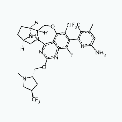 Cc1cc(N)nc(-c2c(Cl)c3c4c(nc(OC[C@@H]5C[C@@H](C(F)(F)F)CN5C)nc4c2F)N2C[C@H]4CC[C@H](N4)[C@H]2CO3)c1C(F)(F)F